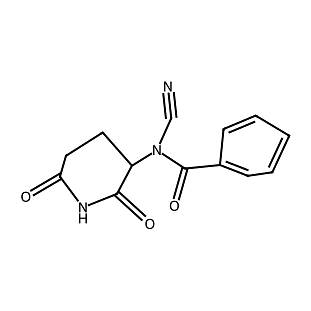 N#CN(C(=O)c1ccccc1)C1CCC(=O)NC1=O